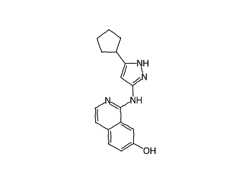 Oc1ccc2ccnc(Nc3cc(C4CCCC4)[nH]n3)c2c1